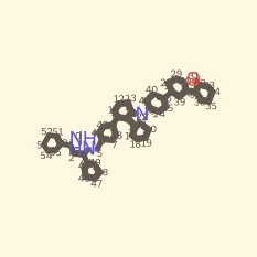 N=C(/C=C(\NCc1ccc(-c2cccc3c2c2ccccc2n3-c2ccc(-c3ccc4oc5ccccc5c4c3)cc2)cc1)c1ccccc1)C1=CCCC=C1